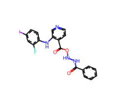 O=C(NNOC(=O)c1ccncc1Nc1ccc(I)cc1F)c1ccccc1